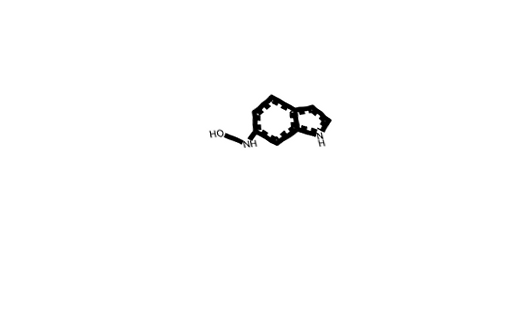 ONc1ccc2cc[nH]c2c1